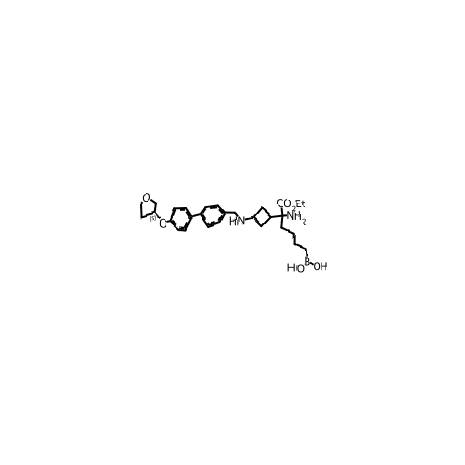 CCOC(=O)C(N)(CCCCB(O)O)C1CC(NCc2ccc(-c3ccc(O[C@H]4CCOC4)cc3)cc2)C1